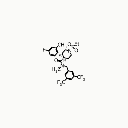 CCS(=O)(=O)N1CC[C@@H](C(=O)N(C)Cc2cc(C(F)(F)F)cc(C(F)(F)F)c2)[C@H](c2ccc(F)cc2C)C1